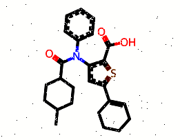 CC1CCC(C(=O)N(c2ccccc2)c2cc(C3=CCCCC3)sc2C(=O)O)CC1